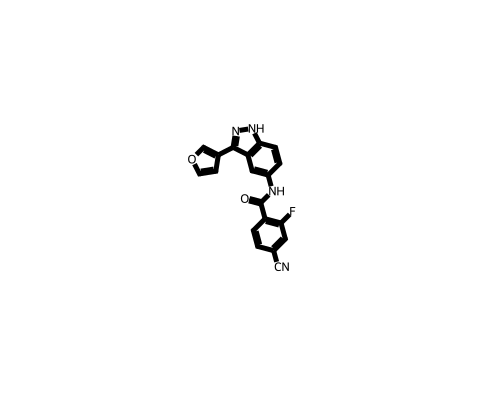 N#Cc1ccc(C(=O)Nc2ccc3[nH]nc(-c4ccoc4)c3c2)c(F)c1